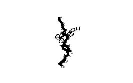 CCCCCCC1(OC(=O)O)CCC(c2ccc(CCCCC)cc2)OC1=O